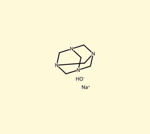 C1N2CN3CN1CN(C2)C3.[Na+].[OH-]